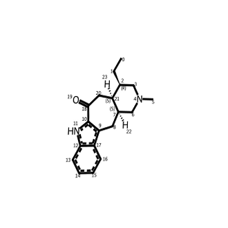 CC[C@H]1CN(C)C[C@H]2Cc3c([nH]c4ccccc34)C(=O)C[C@H]21